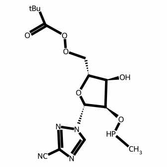 CPO[C@@H]1[C@H](O)[C@@H](COOC(=O)C(C)(C)C)O[C@H]1n1cnc(C#N)n1